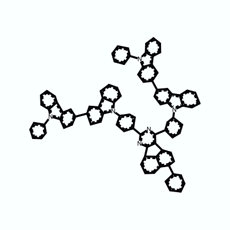 c1ccc(-c2ccc3c4c(cccc24)-c2nc(-c4ccc(-n5c6ccccc6c6cc(-c7ccc8c(c7)c7ccccc7n8-c7ccccc7)ccc65)cc4)nc(-c4cccc(-n5c6ccccc6c6cc(-c7ccc8c(c7)c7ccccc7n8-c7ccccc7)ccc65)c4)c2-3)cc1